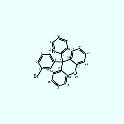 Brc1cccc(C2(c3ccccn3)c3ccccc3Oc3ccccc32)c1